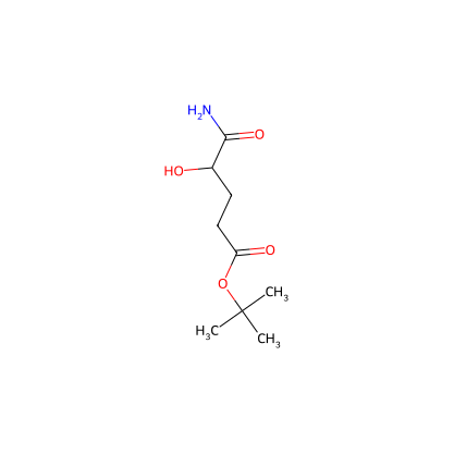 CC(C)(C)OC(=O)CCC(O)C(N)=O